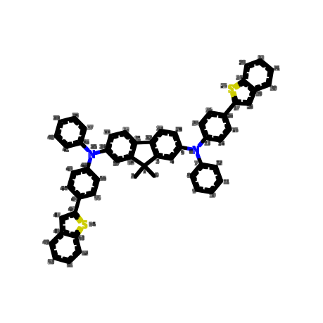 CC1(C)c2cc(N(c3ccccc3)c3ccc(-c4cc5ccccc5s4)cc3)ccc2-c2ccc(N(c3ccccc3)c3ccc(-c4cc5ccccc5s4)cc3)cc21